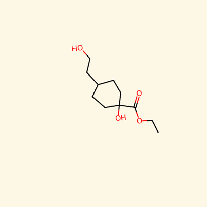 CCOC(=O)C1(O)CCC(CCO)CC1